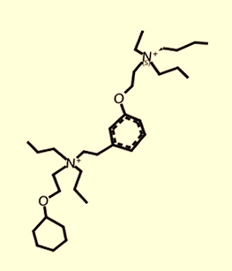 CCCC[N@+](CC)(CCC)CCOc1cccc(CC[N+](CCC)(CCC)CCOC2CCCCC2)c1